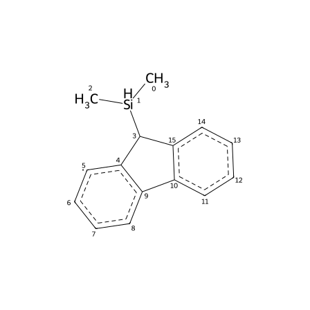 C[SiH](C)C1c2[c]cccc2-c2ccccc21